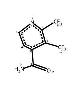 NC(=O)c1ccnc(C(F)(F)F)c1C(F)(F)F